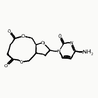 Nc1ccn(C2CC3COC(=O)CCC(=O)OCC3O2)c(=O)n1